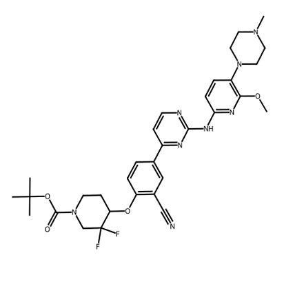 COc1nc(Nc2nccc(-c3ccc(OC4CCN(C(=O)OC(C)(C)C)CC4(F)F)c(C#N)c3)n2)ccc1N1CCN(C)CC1